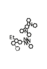 CCc1cc2cc(-c3nc(-c4ccccc4)nc(-c4cccc(-n5c6ccccc6c6cc7c8ccccc8n(-c8ccccc8)c7cc65)c4)n3)ccc2c2c(C3=CC=CCC3)cccc12